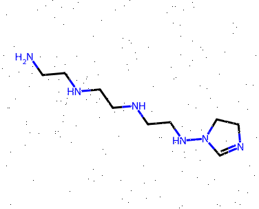 NCCNCCNCCNN1C=NCC1